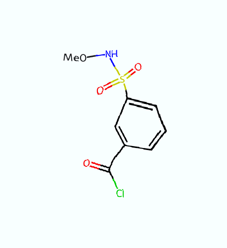 CONS(=O)(=O)c1cccc(C(=O)Cl)c1